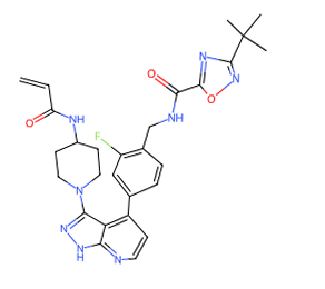 C=CC(=O)NC1CCN(c2n[nH]c3nccc(-c4ccc(CNC(=O)c5nc(C(C)(C)C)no5)c(F)c4)c23)CC1